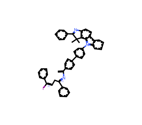 C=C(/N=C(\C/C=C(/I)c1ccccc1)c1ccccc1)c1ccc(-c2ccc(-n3c4ccccc4c4ccc5c(c43)C(C)(C)C(c3ccccc3)=N5)cc2)cc1